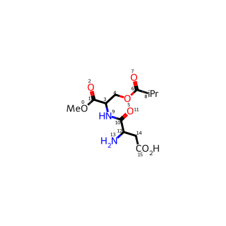 COC(=O)C(COC(=O)C(C)C)NC(=O)C(N)CC(=O)O